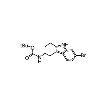 CC(C)(C)OC(=O)NC1CCc2[nH]c3cc(Br)ccc3c2C1